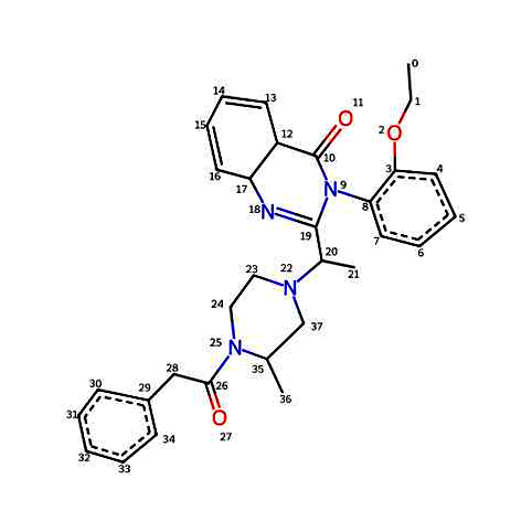 CCOc1ccccc1N1C(=O)C2C=CC=CC2N=C1C(C)N1CCN(C(=O)Cc2ccccc2)C(C)C1